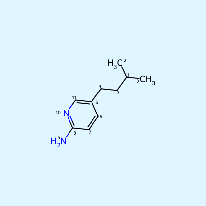 CC(C)CCc1ccc(N)nc1